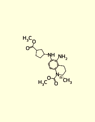 COC(=O)C1CCC(Nc2ccc3c(c2N)CC[C@H](C)N3C(=O)OC)C1